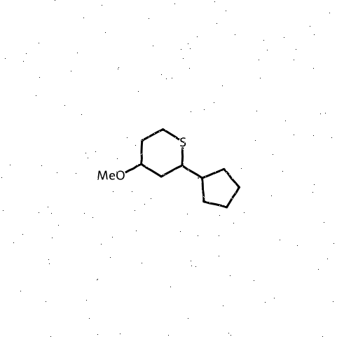 COC1CCSC([C]2CCCC2)C1